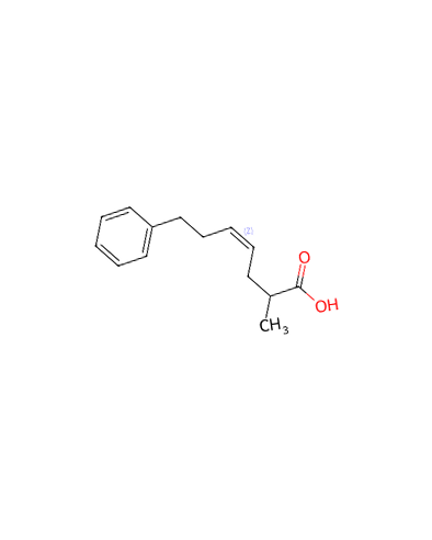 CC(C/C=C\CCc1ccccc1)C(=O)O